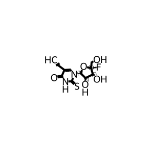 C#Cc1cn([C@@H]2O[C@](F)(CO)[C@@H](O)[C@H]2O)c(=S)[nH]c1=O